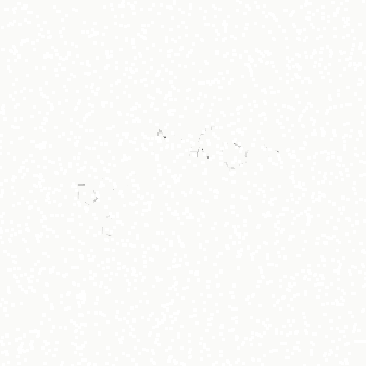 COc1cc(NC(=O)CCN(C)[C@H]2CC[C@H](OC(=O)C(O)(c3cccs3)c3cccs3)CC2)c(F)cc1CO